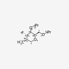 CC(C)OC[C@H]1OC[C@@H](C)[C@H](F)C1OC(C)C